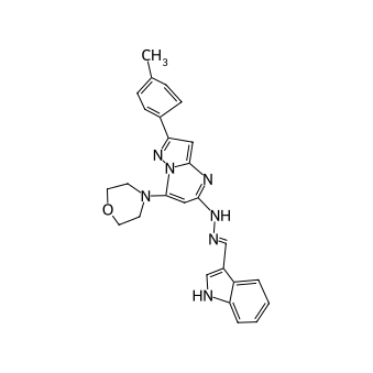 Cc1ccc(-c2cc3nc(N/N=C/c4c[nH]c5ccccc45)cc(N4CCOCC4)n3n2)cc1